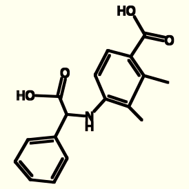 Cc1c(NC(C(=O)O)c2ccccc2)ccc(C(=O)O)c1C